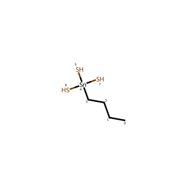 CCC[CH2][Sn]([SH])([SH])[SH]